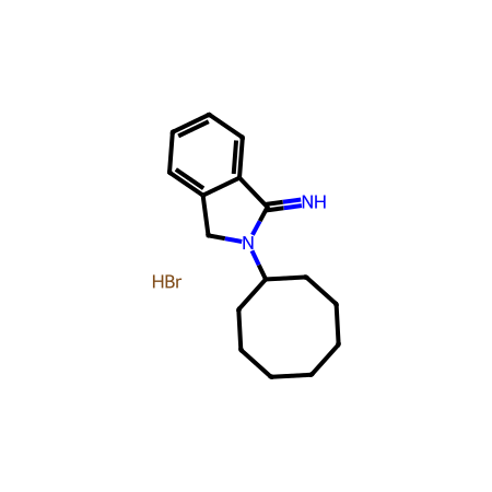 Br.N=C1c2ccccc2CN1C1CCCCCCC1